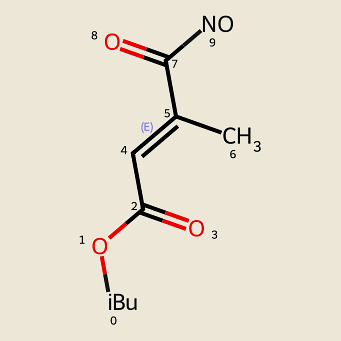 CCC(C)OC(=O)/C=C(\C)C(=O)N=O